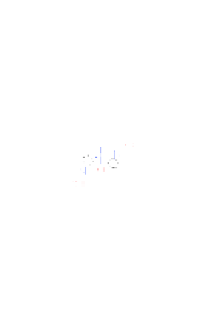 O=C(Nc1cccc(N(CC2CO2)CC2CO2)c1)c1cccc(N(CC2CO2)CC2CO2)c1